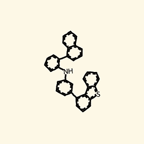 c1cc(Nc2ccccc2-c2cccc3ccccc23)cc(-c2cccc3sc4ccccc4c23)c1